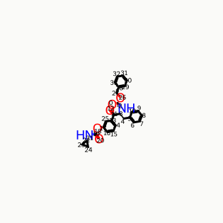 O=C(N[C@@H](Cc1ccccc1)C(=O)c1cccc(OC(=O)NC2CC2)c1)OCc1ccccc1